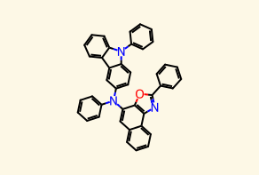 c1ccc(-c2nc3c(o2)c(N(c2ccccc2)c2ccc4c(c2)c2ccccc2n4-c2ccccc2)cc2ccccc23)cc1